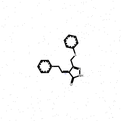 O=C1NN=C(CSc2ccccc2)/C1=C\Cc1ccccc1